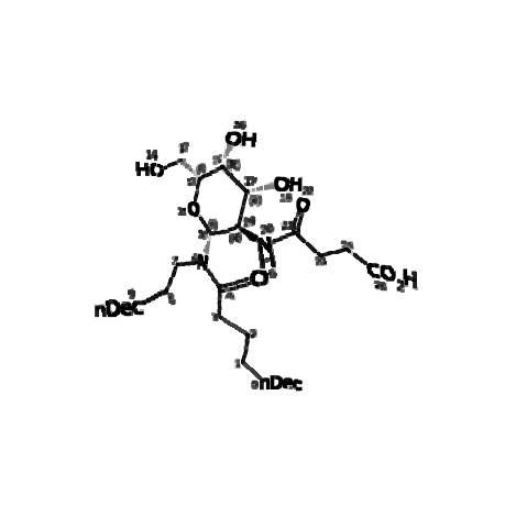 CCCCCCCCCCCCCC(=O)N(CCCCCCCCCCCC)[C@@H]1O[C@H](CO)[C@H](O)[C@H](O)[C@H]1NC(=O)CCC(=O)O